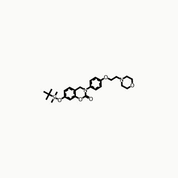 CC(C)(C)[Si](C)(C)Oc1ccc2c(c1)OC(=O)N(c1ccc(OCCN3CCOCC3)cc1)C2